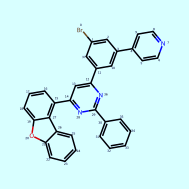 Brc1cc(-c2ccncc2)cc(-c2cc(-c3cccc4oc5ccccc5c34)nc(-c3ccccc3)n2)c1